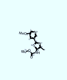 COc1cncc(-c2nc(C)c(NC(=O)OC(C)(C)C)s2)c1